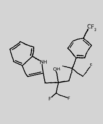 CC(CF)(CC(O)(Cc1cc2ccccc2[nH]1)C(F)F)c1ccc(C(F)(F)F)cc1